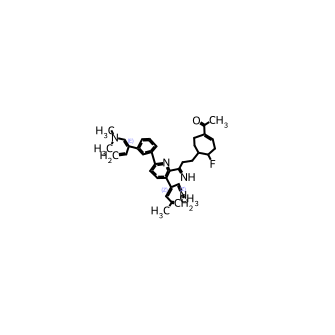 C=C/C(=C\N(C)C)c1cccc(-c2ccc(C(/C=N\C)=C/C(=C)C)c(C(=N)CCC3CCC(C(C)=O)=CCC3F)n2)c1